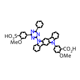 COc1ccc(-n2c3ccccc3c3cc4c(cc32)c2ccccc2n4-c2nc(-c3ccccc3)nc(-c3ccc(S(=O)(=O)O)c(OC)c3)n2)cc1C(=O)O